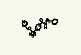 O=C(N[C@H]1C[C@@H]1c1ccccc1)N1CCN(c2nsnc2OCc2ccncc2)CC1